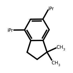 CC(C)c1[c]c(C(C)C)c2c(c1)C(C)(C)CC2